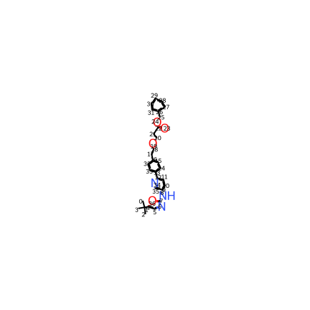 CC(C)(C)c1cnc(Nc2ccc(-c3ccc(CCOCCC(=O)OCc4ccccc4)cc3)nc2)o1